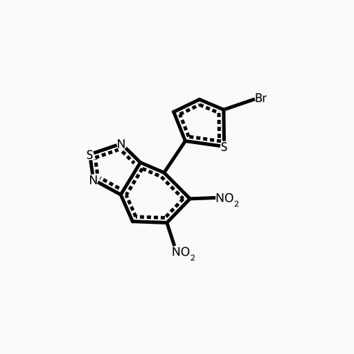 O=[N+]([O-])c1cc2nsnc2c(-c2ccc(Br)s2)c1[N+](=O)[O-]